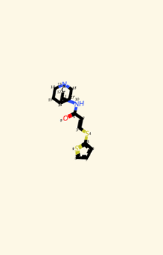 O=C(C=CSc1cccs1)NC1CN2CCC1CC2